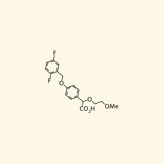 COCCOC(C(=O)O)c1ccc(OCc2cc(F)ccc2F)cc1